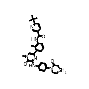 Cc1c(NC(=O)c2ccc(C(C)(C)C)nc2)cccc1-c1cn(C)c(=O)c(Nc2ccc(N3CC[SH2]CC3=O)cc2)n1